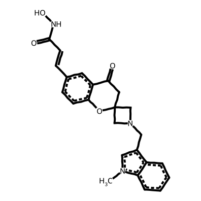 Cn1cc(CN2CC3(CC(=O)c4cc(C=CC(=O)NO)ccc4O3)C2)c2ccccc21